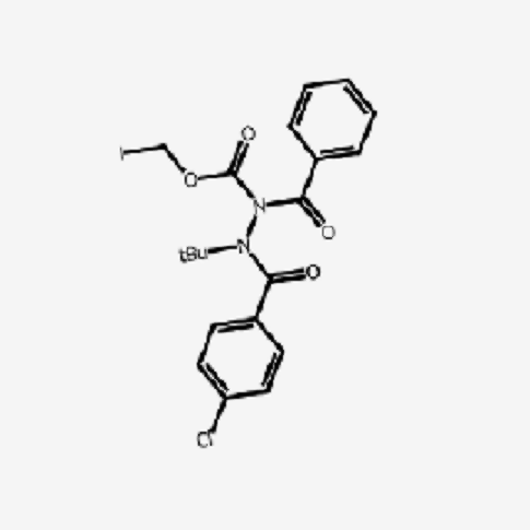 CC(C)(C)N(C(=O)c1ccc(Cl)cc1)N(C(=O)OCI)C(=O)c1ccccc1